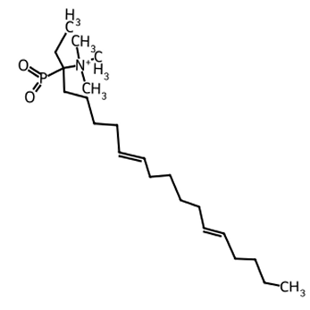 CCCCC=CCCCCC=CCCCCC(CC)(P(=O)=O)[N+](C)(C)C